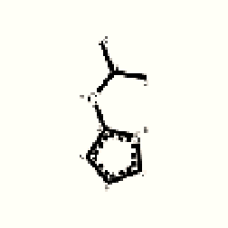 CC(C)Oc1cccs1